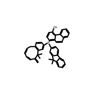 C=C1/C=C\C=C/Cc2ccc(N(c3ccc4c(c3)C(C)(C)c3ccccc3-4)c3ccc(O)c4c3ccc3ccccc34)cc2C1(C)C